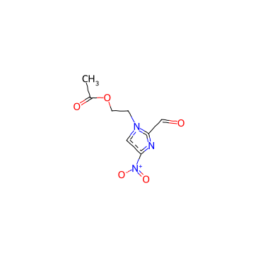 CC(=O)OCCn1cc([N+](=O)[O-])nc1C=O